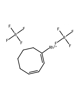 F[B-](F)(F)F.F[B-](F)(F)F.[Rh+2][C]1=CC=CCCCC1